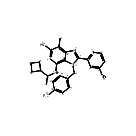 Cc1c(C#N)nc(NC(C)C2CCC2)c2c1nc(-c1cc(C(C)C)ccn1)n2Cc1ccc(C(F)(F)F)cc1